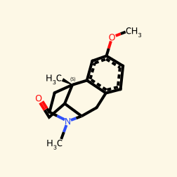 COc1ccc2c(c1)[C@@]1(C)CCN(C)C(C2)C1C=O